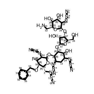 [N-]=[N+]=NC[C@H]1OC(O[C@@H]2C(N=[N+]=[N-])CC(N=[N+]=[N-])[C@H](O)[C@H]2O[C@@H]2O[C@H](CO)[C@@H](O[C@H]3O[C@@H](CN)[C@@H](O)[C@H](O)C3N=[N+]=[N-])[C@H]2O)C(N=[N+]=[N-])[C@@H](F)[C@@H]1OCc1ccccc1